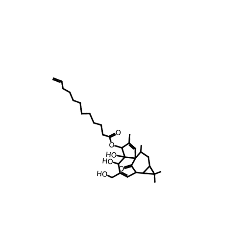 C=CCCCCCCCCCC(=O)OC1C(C)=CC23C(=O)C(C=C(CO)C(O)C12O)C1C(CC3C)C1(C)C